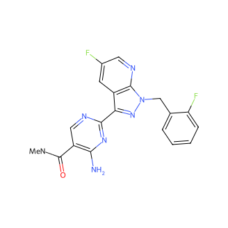 CNC(=O)c1cnc(-c2nn(Cc3ccccc3F)c3ncc(F)cc23)nc1N